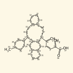 C=C(/C=C\C(=C)c1ccc2ccccc2ccc(-c2ccc(C)cc2)c2cc3ccccc3cc12)C(=O)O